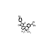 CC(=O)c1ccc(-n2c(=O)n3n(c2=O)C2C(=CC3)C(C)(C)Oc3cc(N(C(C)C)C(C)C)ccc32)cc1